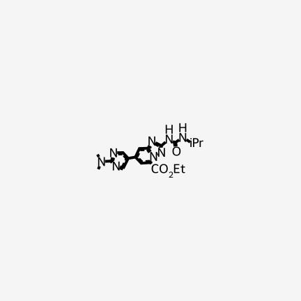 CCOC(=O)c1cc(-c2cnc(N(C)C)nc2)cc2nc(NC(=O)NC(C)C)nn12